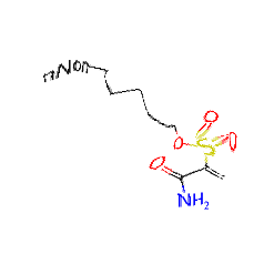 C=C(C(N)=O)S(=O)(=O)OCCCCCCCCCCCCCC